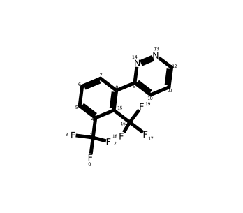 FC(F)(F)c1cccc(-c2cc[c]nn2)c1C(F)(F)F